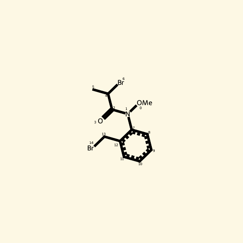 CON(C(=O)C(C)Br)c1ccccc1CBr